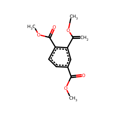 C=C(OC)c1cc(C(=O)OC)ccc1C(=O)OC